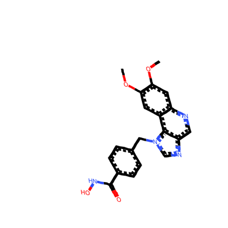 COc1cc2ncc3ncn(Cc4ccc(C(=O)NO)cc4)c3c2cc1OC